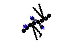 CCCCCCCCCCCCC1(CCCCCCCCCCCC)c2cc(-c3ccccc3)ccc2-c2ccc(-c3cc(/C=C/c4ccncc4)c(-c4ccc5c(c4)C(CCCCCCCCCCCC)(CCCCCCCCCCCC)c4cc(-c6ccc(-c7ccccc7)c7nsnc67)ccc4-5)cc3/C=C/c3ccncc3)cc21